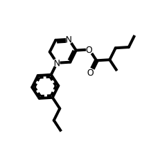 CCCc1cccc(N2C=C(OC(=O)C(C)CCC)N=CC2)c1